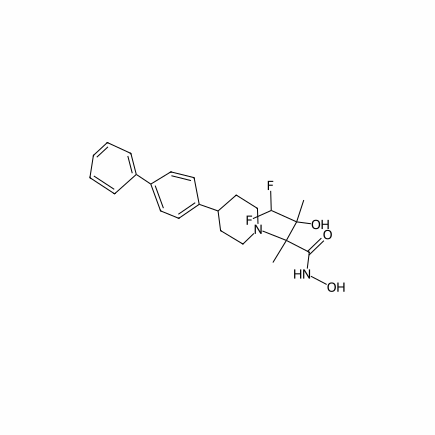 CC(O)(C(F)F)C(C)(C(=O)NO)N1CCC(c2ccc(-c3ccccc3)cc2)CC1